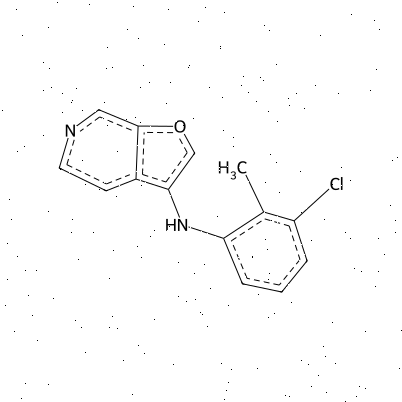 Cc1c(Cl)cccc1Nc1coc2cnccc12